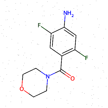 Nc1cc(F)c(C(=O)N2CCOCC2)cc1F